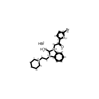 Br.NC1N(CCN2CCCCC2)c2ccccc2N1CC(=O)c1ccc(Br)s1